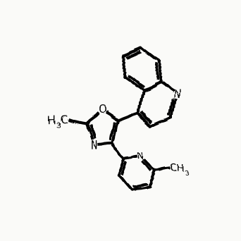 Cc1cccc(-c2nc(C)oc2-c2ccnc3ccccc23)n1